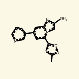 Cc1noc(-c2cc(-c3cccnc3)cc3nc(N)cn23)n1